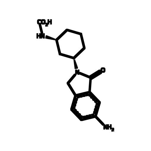 Nc1ccc2c(c1)C(=O)N([C@H]1CCC[C@@H](NC(=O)O)C1)C2